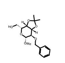 CO[C@@H]1O[C@H](CO)[C@@H]2OC(C)(C)O[C@@H]2[C@H]1OCc1ccccc1